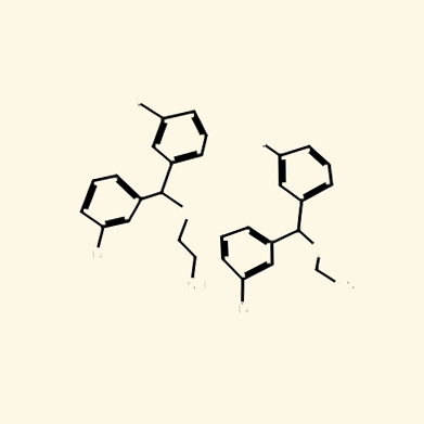 N#CCOC(c1cccc(Cl)c1)c1cccc(Br)c1.NCCOC(c1cccc(Cl)c1)c1cccc(Br)c1